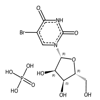 O=P(O)(O)O.O=c1[nH]c(=O)n([C@@H]2O[C@H](CO)[C@@H](O)[C@H]2O)cc1Br